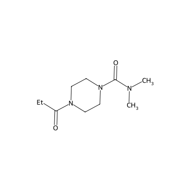 CCC(=O)N1CCN(C(=O)N(C)C)CC1